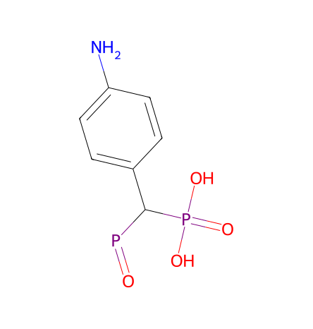 Nc1ccc(C(P=O)P(=O)(O)O)cc1